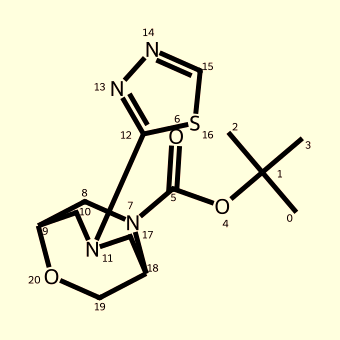 CC(C)(C)OC(=O)N1CC2CN(c3nncs3)CC1CO2